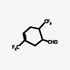 O=CC1CC(C(F)(F)F)=CCC1C(F)(F)F